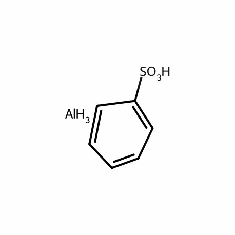 O=S(=O)(O)c1ccccc1.[AlH3]